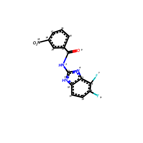 O=C(Nc1nc2c(F)c(F)ccc2[nH]1)c1cccc([N+](=O)[O-])c1